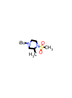 CCC(C)N1CCN(S(C)(=O)=O)C(C)C1